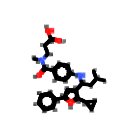 CC(C)CC(Nc1ccc(C(=O)N(C)CCC(=O)O)cc1)c1cc(-c2ccccc2)oc1C1CC1